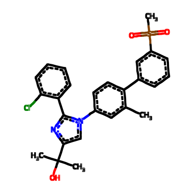 Cc1cc(-n2cc(C(C)(C)O)nc2-c2ccccc2Cl)ccc1-c1cccc(S(C)(=O)=O)c1